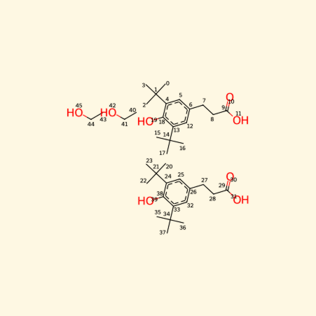 CC(C)(C)c1cc(CCC(=O)O)cc(C(C)(C)C)c1O.CC(C)(C)c1cc(CCC(=O)O)cc(C(C)(C)C)c1O.CCO.CCO